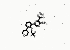 Nc1ncc(-c2cccc(C3=CCOCC3)c2OCC(F)(F)F)nc1-c1nnn[nH]1